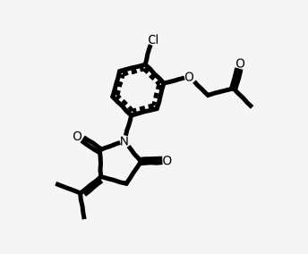 CC(=O)COc1cc(N2C(=O)CC(=C(C)C)C2=O)ccc1Cl